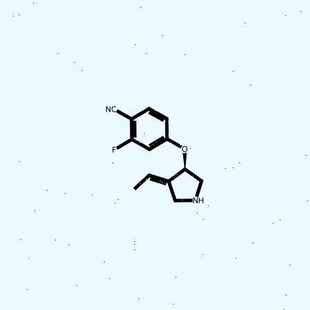 C/C=C1\CNC[C@@H]1Oc1ccc(C#N)c(F)c1